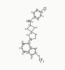 FC(F)(F)Cc1cc2c(N3CCC4(CC(Nc5ccc(Cl)cc5)C4)C3)ncnc2s1